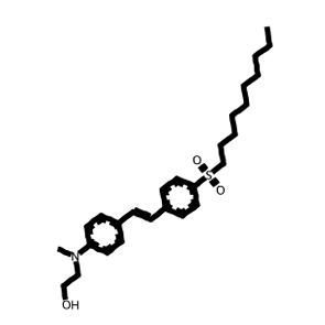 CCCCCCCCCCS(=O)(=O)c1ccc(C=Cc2ccc(N(C)CCO)cc2)cc1